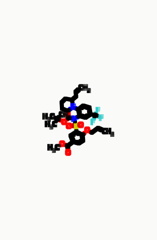 C=CCOc1ccc(C(=O)OC)cc1S(=O)(=O)N(C(=O)OC(C)(C)C)c1cc(C(F)(F)F)ccc1N1CCCCC1CC=C